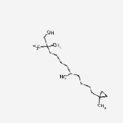 CC(C)(CO)CCCCC(O)CCCCC1(C)CC1